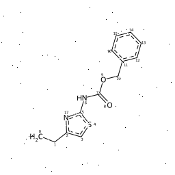 [CH2]Cc1csc(NC(=O)OCc2ccccc2)n1